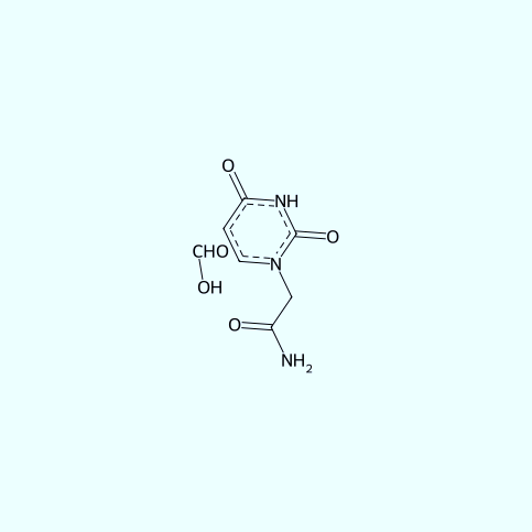 NC(=O)Cn1ccc(=O)[nH]c1=O.O=CO